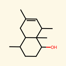 CC1=CC(C)C2(C)C(O)CCC(C)C2C1